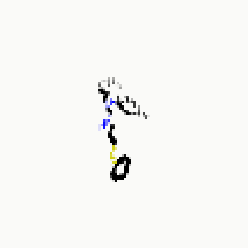 CCCCN(CCNCCCSc1ccccc1)C(C)CC